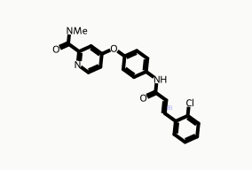 CNC(=O)c1cc(Oc2ccc(NC(=O)/C=C/c3ccccc3Cl)cc2)ccn1